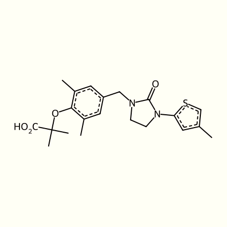 Cc1csc(N2CCN(Cc3cc(C)c(OC(C)(C)C(=O)O)c(C)c3)C2=O)c1